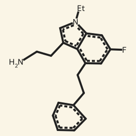 CCn1cc(CCN)c2c(CCc3ccccc3)cc(F)cc21